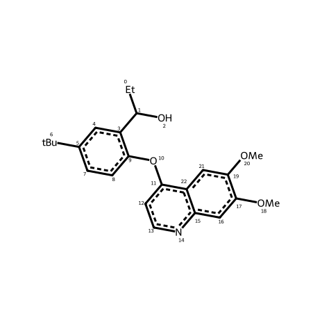 CCC(O)c1cc(C(C)(C)C)ccc1Oc1ccnc2cc(OC)c(OC)cc12